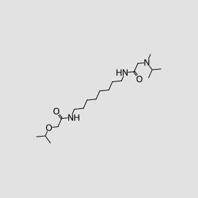 CC(C)OCC(=O)NCCCCCCCCNC(=O)CN(C)C(C)C